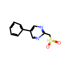 O=[SH](=O)Cc1ncc(-c2ccccc2)cn1